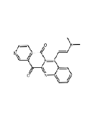 CN(C)/C=C/c1c2c(nc3ccccc13)C(=O)c1cnccc1C2=O